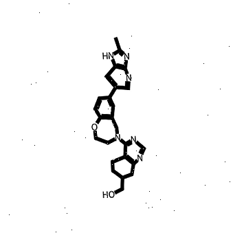 Cc1nc2ncc(-c3ccc4c(c3)CN(c3ncnc5c3CCC(CO)C5)CCO4)cc2[nH]1